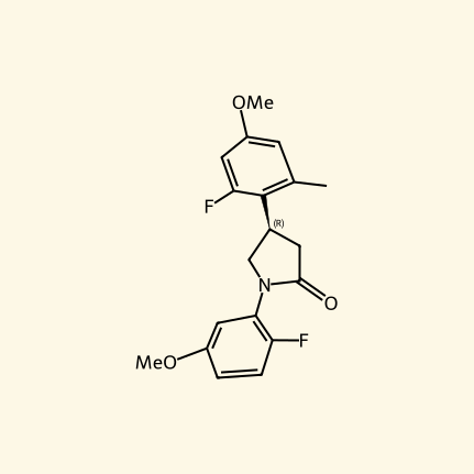 COc1cc(C)c([C@H]2CC(=O)N(c3cc(OC)ccc3F)C2)c(F)c1